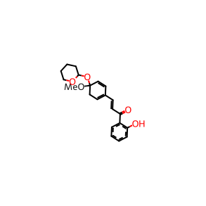 COC1(OC2CCCCO2)C=CC(C=CC(=O)c2ccccc2O)=CC1